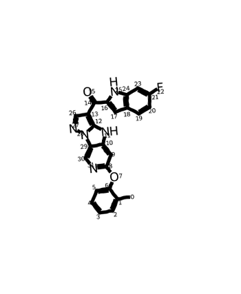 Cc1ccccc1Oc1cc2[nH]c3c(C(=O)c4cc5ccc(F)cc5[nH]4)cnn3c2cn1